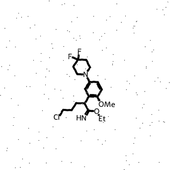 CCOC(=N)C(CCCCl)c1cc(N2CCC(F)(F)CC2)ccc1OC